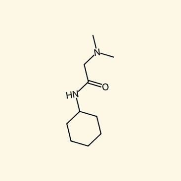 CN(C)CC(=O)NC1CCCCC1